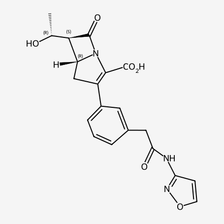 C[C@@H](O)[C@H]1C(=O)N2C(C(=O)O)=C(c3cccc(CC(=O)Nc4ccon4)c3)C[C@H]12